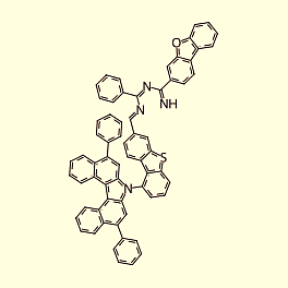 N=C(/N=C(\N=C\c1ccc2c(c1)sc1cccc(-n3c4cc(-c5ccccc5)c5ccccc5c4c4c5ccccc5c(-c5ccccc5)cc43)c12)c1ccccc1)c1ccc2c(c1)oc1ccccc12